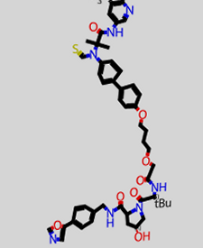 CC(C)(C)[C@H](NC(=O)COCCCCOc1ccc(-c2ccc(N(C=S)C(C)(C)C(=O)Nc3cnc(C#N)c(C(F)(F)F)c3)cc2)cc1)C(=O)N1C[C@H](O)CC1C(=O)NCc1ccc(-c2cnco2)cc1